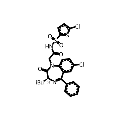 CCC(C)[C@@H]1N=C(c2ccccc2)c2cc(Cl)ccc2N(CC(=O)NS(=O)(=O)c2ccc(Cl)s2)C1=O